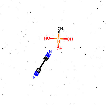 C[PH](O)(O)O.N#CC#N